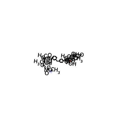 C/C=C\C(=O)N(C=O)CCC(=O)N[C@@H](C)C(=O)N[C@@H](C)C(=O)Nc1cccc(Cc2ccc([C@@H]3O[C@@H]4C[C@H]5[C@@H]6CCC7=CC(=O)C=C[C@]7(C)[C@H]6[C@@H](O)C[C@]5(C)[C@]4(C(=O)CO)O3)cc2)c1